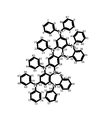 c1ccc(N(c2ccccc2)c2cc3c4c(c2)N(c2ccccc2)c2cc5c(cc2B4Sc2ccccc2N3c2ccccc2)B2Sc3ccccc3N(c3ccccc3)c3cc(N(c4ccccc4)c4ccccc4)cc(c32)N5c2ccccc2)cc1